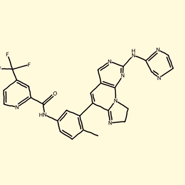 Cc1ccc(NC(=O)c2cc(C(F)(F)F)ccn2)cc1C1=Cc2cnc(Nc3cnccn3)nc2N2CCN=C12